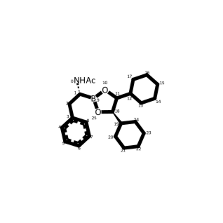 CC(=O)N[C@@H](Cc1ccccc1)B1OC(C2CCCCC2)[C@@H](C2CCCCC2)O1